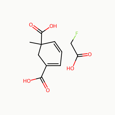 CC1(C(=O)O)C=CC=C(C(=O)O)C1.O=C(O)CF